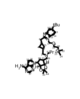 CC(C)N(CC1CC(Cc2nc3cc(C(C)(C)C)ccc3n2COCC[Si](C)(C)C)C1)CC1CC(n2ccc3c(N)ncnc32)[C@@H]2OC(C)(C)O[C@H]12